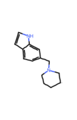 [CH]1CCCN(Cc2ccc3cc[nH]c3c2)C1